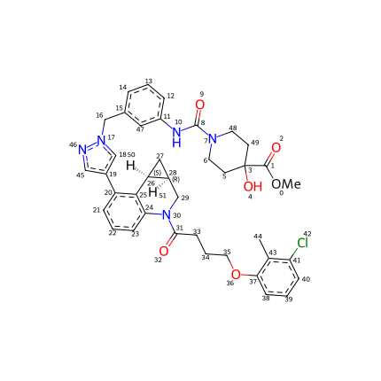 COC(=O)C1(O)CCN(C(=O)Nc2cccc(Cn3cc(-c4cccc5c4[C@H]4C[C@H]4CN5C(=O)CCCOc4cccc(Cl)c4C)cn3)c2)CC1